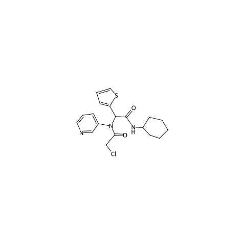 O=C(NC1CCCCC1)C(c1cccs1)N(C(=O)CCl)c1cccnc1